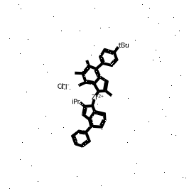 CC1=Cc2c(-c3ccc(C(C)(C)C)cc3)c(C)c(C)c(C)c2[CH]1[Zr+2][CH]1C(C(C)C)=Cc2c(-c3ccccc3)cccc21.[Cl-].[Cl-]